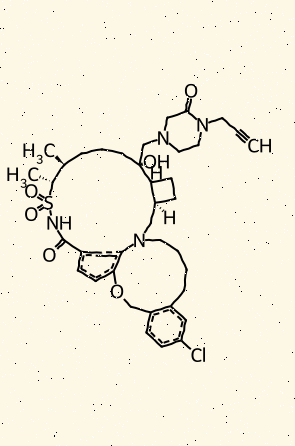 C#CCN1CCN(C[C@@]2(O)CCC[C@H](C)[C@@H](C)S(=O)(=O)NC(=O)c3ccc4c(c3)N(CCCCc3cc(Cl)ccc3CO4)C[C@@H]3CC[C@H]32)CC1=O